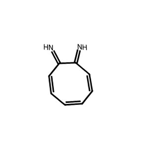 N=c1ccccccc1=N